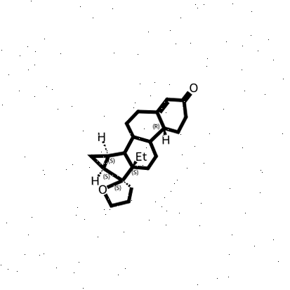 CC[C@]12CCC3C(CCC4=CC(=O)CC[C@@H]43)C1[C@@H]1C[C@@H]1[C@@]21CCCO1